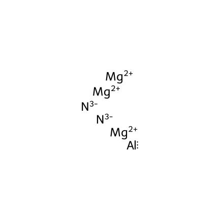 [Al].[Mg+2].[Mg+2].[Mg+2].[N-3].[N-3]